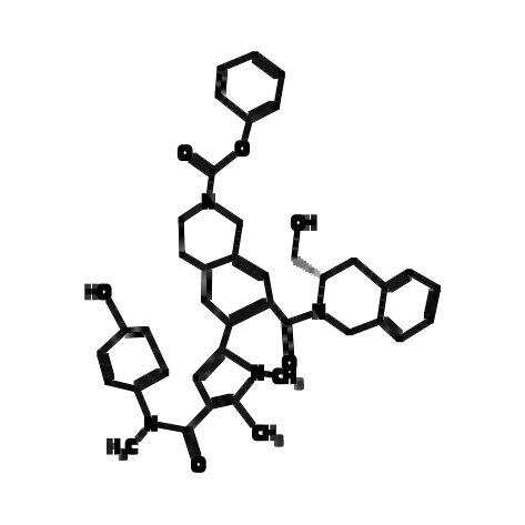 Cc1c(C(=O)N(C)c2ccc(O)cc2)cc(-c2cc3c(cc2C(=O)N2Cc4ccccc4C[C@H]2CO)CN(C(=O)Oc2ccccc2)CC3)n1C